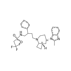 Cc1nc2ccccc2n1[C@H]1CCN(CCC(CNS(=O)(=O)CC(F)(F)F)c2ccccc2)C2CC[C@H]2C1